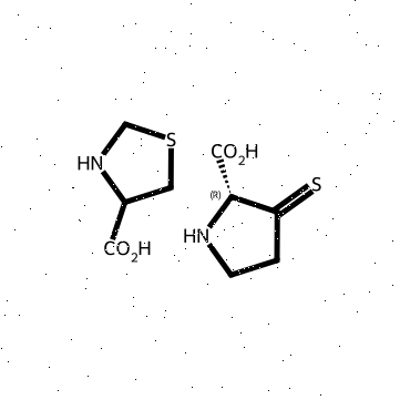 O=C(O)C1CSCN1.O=C(O)[C@H]1NCCC1=S